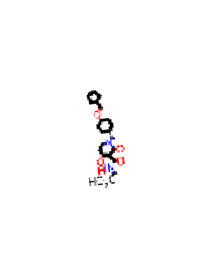 O=C(O)CNC(=O)C1=C(O)CCN(C[C@H]2CC[C@H](OCC3CCCC3)CC2)C1=O